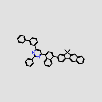 CC1(C)c2cc(-c3ccc(-c4cc(-c5cccc(-c6ccccc6)c5)nc(-c5ccccc5)n4)c4ccccc34)ccc2-c2cc3ccccc3cc21